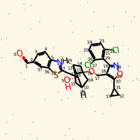 O=Cc1ccc2nc([C@]3(O)[C@@H]4CC5[C@H]3C[C@]5(OCc3c(-c5c(Cl)cccc5Cl)noc3C3CC3)C4)sc2c1